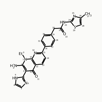 CCn1c(N)c(-c2ncc[nH]2)c(=O)c2ccc(-c3ccc(CC(=O)Nc4nc(C)cs4)cc3)nc21